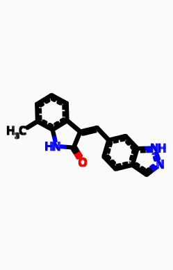 Cc1cccc2c1NC(=O)C2=Cc1ccc2cn[nH]c2c1